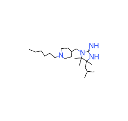 CCCCCCN1CCC(CN2C(=N)NC(C)(CC(C)C)C2(C)C)CC1